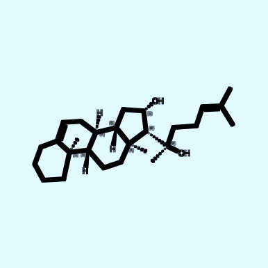 CC(C)=CCC[C@@](C)(O)[C@H]1[C@@H](O)C[C@H]2[C@@H]3CC=C4CCCC[C@]4(C)[C@H]3CC[C@@]21C